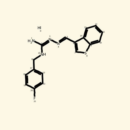 I.NC(=NN=Cc1csc2ccccc12)NCc1ccc(F)cc1